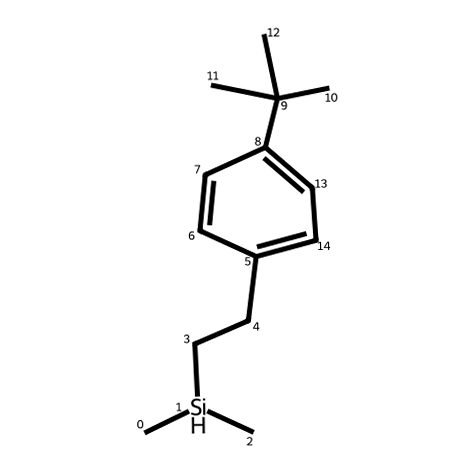 C[SiH](C)CCc1ccc(C(C)(C)C)cc1